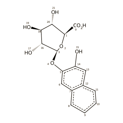 O=C(O)[C@H]1O[C@@H](Oc2cc3ccccc3cc2O)[C@H](O)[C@@H](O)[C@@H]1O